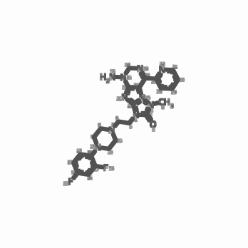 Cn1c(=O)n(CCN2CCN(c3ccc(F)cc3F)CC2)c2nc3c(n21)C(c1ccccn1)=NCN3N